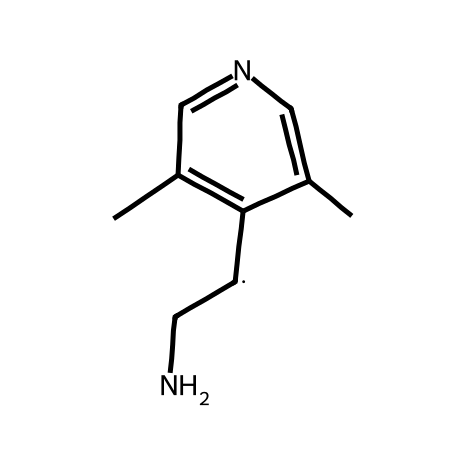 Cc1cncc(C)c1[CH]CN